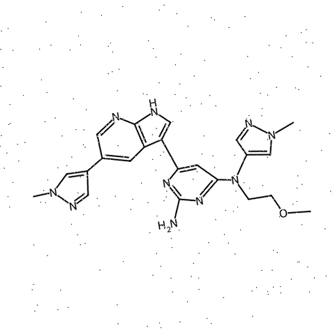 COCCN(c1cnn(C)c1)c1cc(-c2c[nH]c3ncc(-c4cnn(C)c4)cc23)nc(N)n1